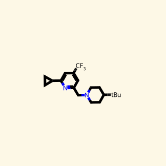 CC(C)(C)C1CCN(Cc2cc(C(F)(F)F)cc(C3CC3)n2)CC1